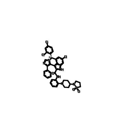 O=C(Nc1ccccc1N1CCC(N2CCCS2(=O)=O)CC1)c1[nH]c2cc(Cl)cc3c2c1-c1c(-c2ccccc2)ncn1[C@@H]3c1ccc(Cl)cc1Cl